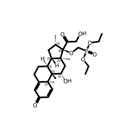 CCOP(=O)(CO[C@]1(C(=O)CO)[C@@H](C)C[C@H]2[C@@H]3CCC4=CC(=O)C=C[C@]4(C)[C@@]3(C)[C@@H](O)C[C@@]21C)OCC